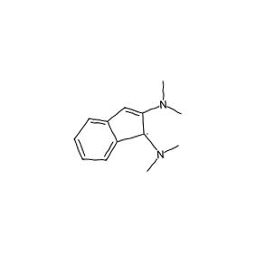 CN(C)[C]1C(N(C)C)=Cc2ccccc21